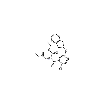 CCN/C=C(\C(=O)OCC)C(=O)c1cc(OC2Cc3ccccc3C2)ncc1Cl